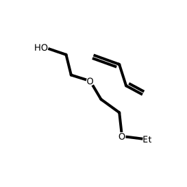 C=CC=C.CCOCCOCCO